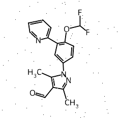 Cc1nn(-c2ccc(OC(F)F)c(-c3ccccn3)c2)c(C)c1C=O